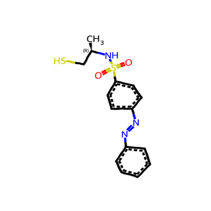 C[C@H](CS)NS(=O)(=O)c1ccc(N=Nc2ccccc2)cc1